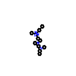 c1ccc(-c2ccc(-c3nc(-c4ccccc4)nc(-c4ccc5c(-n6c7ccccc7c7cc8c9cc%10ccccc%10cc9n(-c9ccccc9)c8cc76)cccc5c4)n3)cc2)cc1